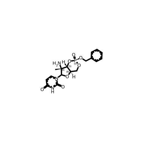 C[C@]1(N)C(n2ccc(=O)[nH]c2=O)O[C@@H]2CO[P@](=O)(OCc3ccccc3)O[C@H]21